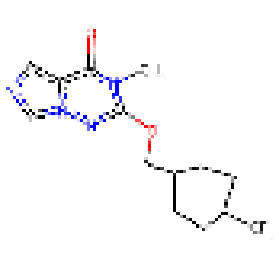 Cn1c(OCC2CCC(C(F)(F)F)CC2)nn2cncc2c1=O